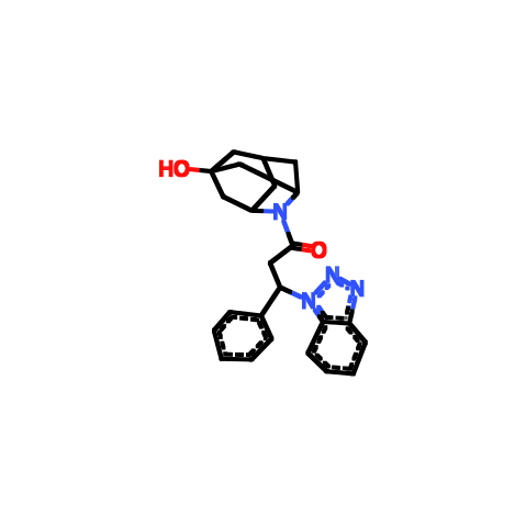 O=C(CC(c1ccccc1)n1nnc2ccccc21)N1C2CC3CC1CC(O)(C3)C2